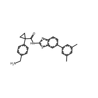 Cc1cc(C)cc(-c2ccc3nc(NC(=O)C4(c5ccc(CN)cc5)CC4)sc3c2)c1